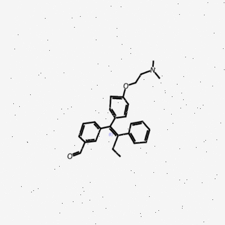 CC/C(=C(/c1ccc(OCCN(C)C)cc1)c1cccc(C=O)c1)c1ccccc1